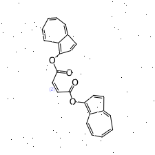 O=C(/C=C\C(=O)Oc1ccc2cccccc1-2)Oc1ccc2cccccc1-2